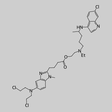 CCN(CCCC(C)Nc1ccnc2cc(Cl)ccc12)CCOC(=O)CCCc1nc2cc(N(CCCl)CCCl)ccc2n1C